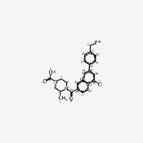 CC1CN(C(=O)O)CCN1C(=O)c1ccc2c(Cl)cc(-c3ccc(CF)cc3)nc2c1